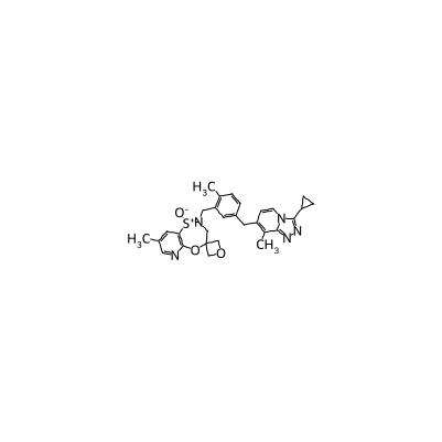 Cc1cnc2c(c1)[S+]([O-])N(Cc1cc(Cc3ccn4c(C5CC5)nnc4c3C)ccc1C)CC1(COC1)O2